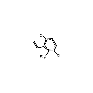 C=Cc1c(Cl)ccc(Cl)c1S(=O)(=O)O